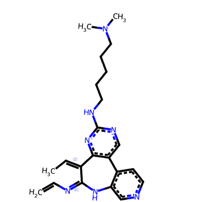 C=C/N=C1/Nc2cnccc2-c2cnc(NCCCCCN(C)C)nc2/C1=C/C